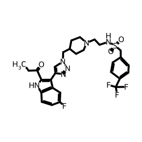 CCC(=O)c1[nH]c2ccc(F)cc2c1-c1cn(CC2CCN(CCNS(=O)(=O)Cc3ccc(C(F)(F)F)cc3)CC2)nn1